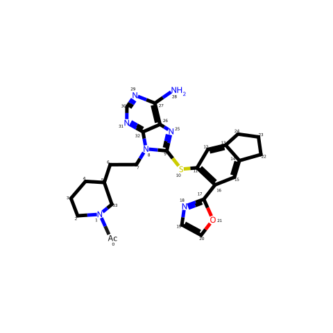 CC(=O)N1CCCC(CCn2c(Sc3cc4c(cc3-c3ncco3)CCC4)nc3c(N)ncnc32)C1